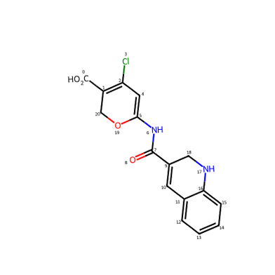 O=C(O)C1=C(Cl)C=C(NC(=O)C2=Cc3ccccc3NC2)OC1